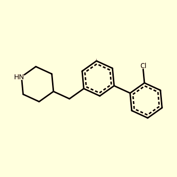 Clc1ccccc1-c1c[c]cc(CC2CCNCC2)c1